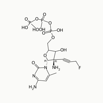 Cc1cc(N)nc(=O)n1[C@@H]1OC(COP(=O)(O)OP(=O)(O)OP(=O)(O)O)C(O)[C@]1(N)C#CCF